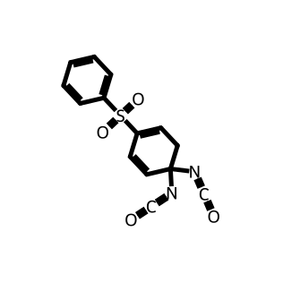 O=C=NC1(N=C=O)C=CC(S(=O)(=O)c2ccccc2)=CC1